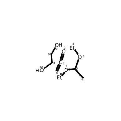 C=C=O.CCOC(C)OCC.OCCO